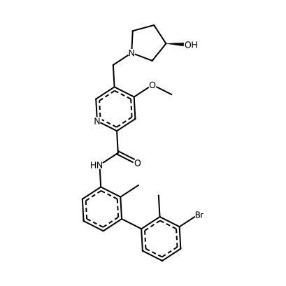 COc1cc(C(=O)Nc2cccc(-c3cccc(Br)c3C)c2C)ncc1CN1CC[C@@H](O)C1